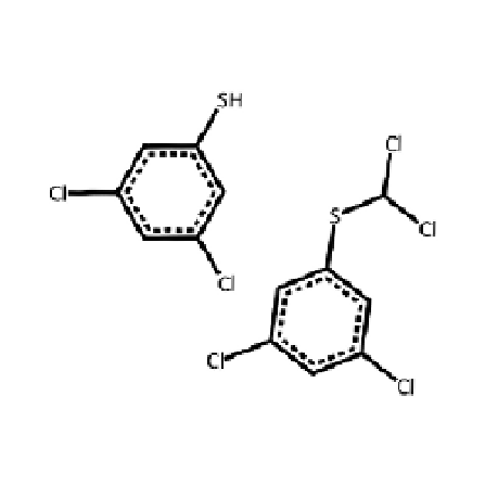 Clc1cc(Cl)cc(SC(Cl)Cl)c1.Sc1cc(Cl)cc(Cl)c1